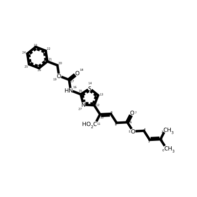 CC(C)=CCOC(=O)C/C=C(\C(=O)O)c1csc(NC(=O)OCc2ccccc2)n1